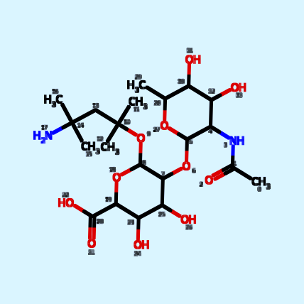 CC(=O)NC1C(OC2C(OC(C)(C)CC(C)(C)N)OC(C(=O)O)C(O)C2O)OC(C)C(O)C1O